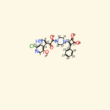 COc1cnc(Cl)c2[nH]cc(C(=O)C(=O)N3CCN(c4c(-c5ccccc5)c(=O)c4=O)CC3)c12